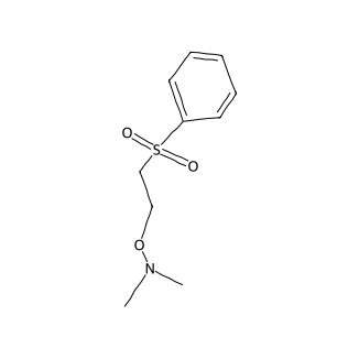 CN(C)OCCS(=O)(=O)c1ccccc1